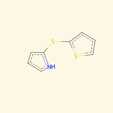 c1c[nH]c(Sc2cccs2)c1